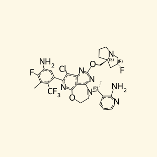 Cc1c(F)c(N)cc(-c2nc3c4c(nc(OC[C@@]56CCCN5C[C@H](F)C6)nc4c2Cl)N([C@H](C)c2cccnc2N)CCO3)c1C(F)(F)F